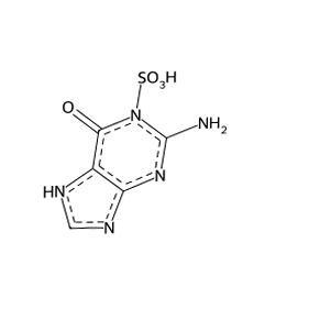 Nc1nc2nc[nH]c2c(=O)n1S(=O)(=O)O